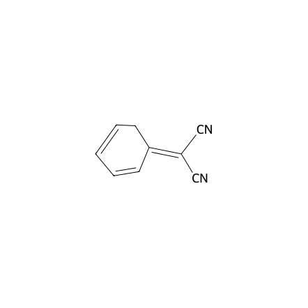 N#CC(C#N)=C1C=CC=CC1